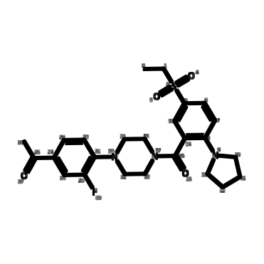 CCS(=O)(=O)c1ccc(N2CCCC2)c(C(=O)N2CCN(c3ccc(C(C)=O)cc3F)CC2)c1